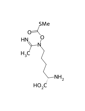 CSC(=O)ON(CCCC[C@H](N)C(=O)O)C(C)=N